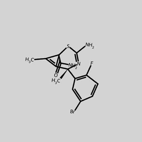 CC1=C2[C@@]1(C(N)=O)SC(N)=N[C@]2(C)c1cc(Br)ccc1F